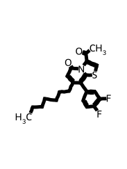 CCCCCCCc1cc(=O)n2c(C(C)=O)csc2c1-c1ccc(F)c(F)c1